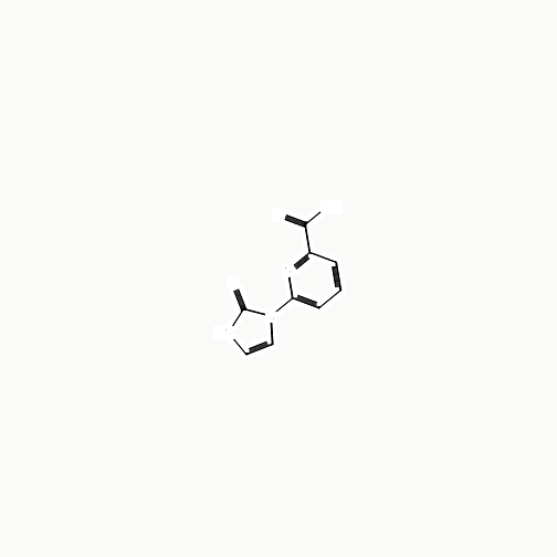 O=C(O)c1cccc(-n2cc[nH]c2=O)n1